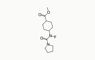 COC(=O)C1CCC(N(F)C(=O)N2CCCC2)CC1